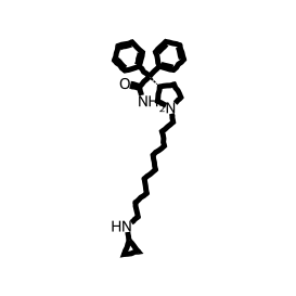 NC(=O)C(c1ccccc1)(c1ccccc1)[C@@H]1CCN(CCCCCCCCCNC2CC2)C1